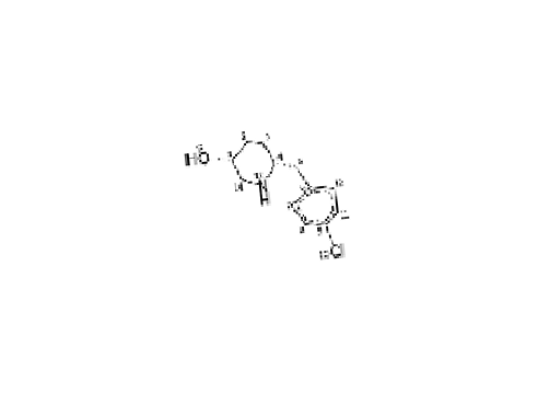 O[C@@H]1CC[C@H](Cc2ccc(Cl)cc2)NC1